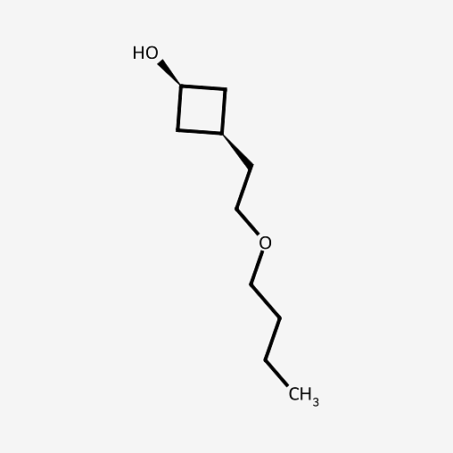 CCCCOCC[C@H]1C[C@@H](O)C1